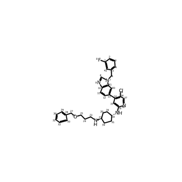 Fc1cccc(Cn2cnc3ccc(-c4cc(N[C@H]5CC[C@H](NCCCOCc6ccccc6)CC5)ncc4Cl)cc32)c1